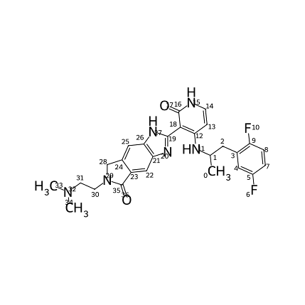 CC(Cc1cc(F)ccc1F)Nc1cc[nH]c(=O)c1-c1nc2cc3c(cc2[nH]1)CN(CCN(C)C)C3=O